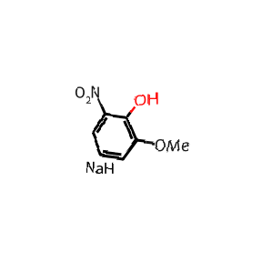 COc1cccc([N+](=O)[O-])c1O.[NaH]